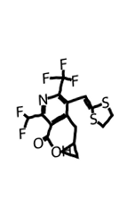 O=C(O)c1c(C(F)F)nc(C(F)(F)F)c(C=C2SCCS2)c1CC1CC1